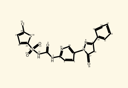 O=C(Nc1ccc(N2N=C(c3ccccc3)CC2=O)cn1)NS(=O)(=O)c1ccc(Cl)s1